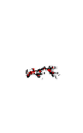 C#CCOC(=O)N(C)Cc1cc(NC(=O)C(CCCNC)NC(=O)CN)ccc1COC(=O)NCC#Cc1ccc(OCCCc2sc(N(CCCC(O)C[N+](C)(C)CCCS(=O)(=O)O)c3cc(C)c(Nc4nc5ccccc5s4)nn3)nc2C=O)c(F)c1